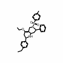 CCOC1=C2CN(S(=O)(=O)c3ccc(C)cc3)C(c3ccccc3)CC2NC(c2ccc(CC)cc2)C1